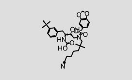 CC(C)(CCCCC#N)CN(C[C@@H](O)[C@H](Cc1cccc(C(C)(C)C)c1)NC(=O)O)S(=O)(=O)c1ccc2c(c1)OCO2